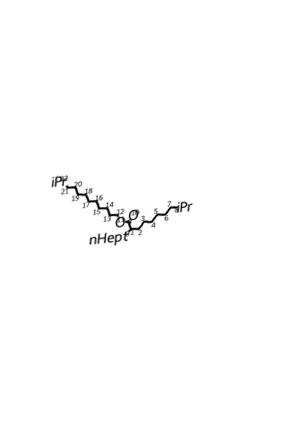 CCCCCCCC(CCCCCCC(C)C)C(=O)OCCCCCCCCCCC(C)C